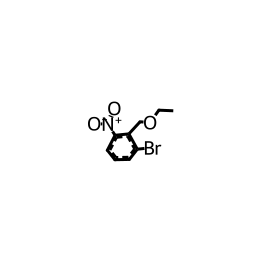 CCOCc1c(Br)cccc1[N+](=O)[O-]